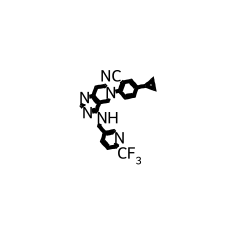 N#Cc1cc(C2CC2)ccc1N1CCc2ncnc(NCc3ccc(C(F)(F)F)nc3)c2C1